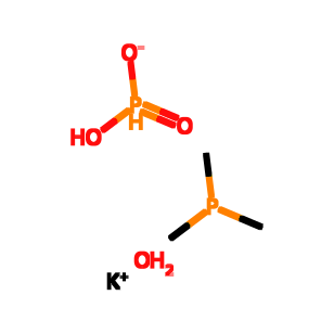 CP(C)C.O.O=[PH]([O-])O.[K+]